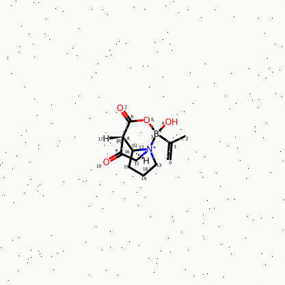 C=C(C)[B-]1(O)OC(=O)[C@H]2C(=O)C[N+]13CCC[C@@H]23